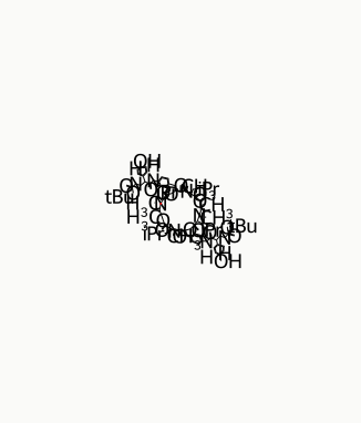 CC(C)CC1C(=O)OC(Cc2ccc(NC(=O)C(CNC(=O)OC(C)(C)C)c3ccc(O)cc3)cc2)C(=O)N(C)C(CC(C)C)C(=O)OC(C)CN(C)C(CC(C)C)C(=O)OC(Cc2ccc(NC(=O)C(CNC(=O)OC(C)(C)C)c3ccc(O)cc3)cc2)C(=O)N(C)C(CC(C)C)C(=O)OC(C)CN1C